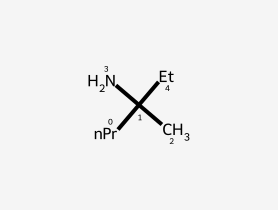 CCCC(C)(N)CC